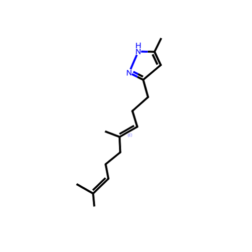 CC(C)=CCC/C(C)=C/CCc1cc(C)[nH]n1